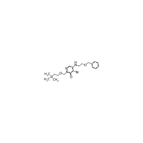 C[Si](C)(C)CCOCn1ncc(NCCOCc2ccccc2)c(Br)c1=O